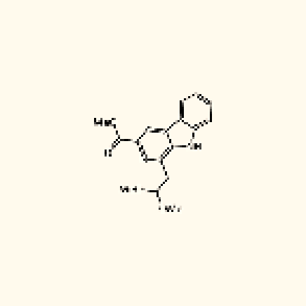 COC(=O)c1cc2c([nH]c3ccccc32)c(CC(OC)OC)n1